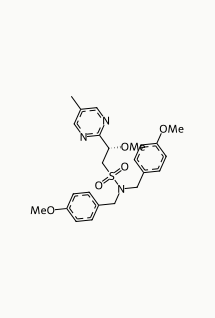 COc1ccc(CN(Cc2ccc(OC)cc2)S(=O)(=O)C[C@@H](OC)c2ncc(C)cn2)cc1